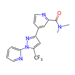 CN(C)C(=O)c1cc(-c2cc(C(F)(F)F)n(-c3ccccn3)n2)ccn1